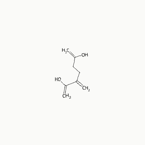 C=C(O)CCC(=C)C(=C)O